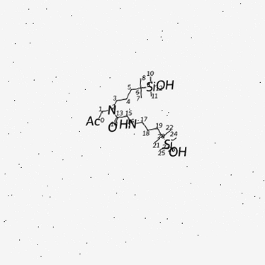 CC(=O)CN(CCCC(C)(C)[Si](C)(C)O)C(=O)CNCCCC(C)(C)[Si](C)(C)O